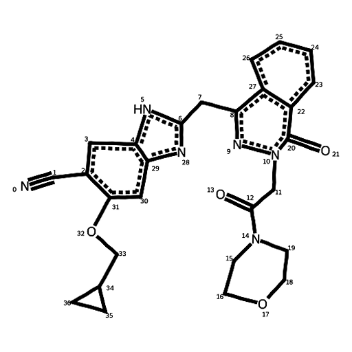 N#Cc1cc2[nH]c(Cc3nn(CC(=O)N4CCOCC4)c(=O)c4ccccc34)nc2cc1OCC1CC1